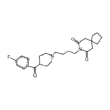 O=C(c1ccc(F)cc1)C1CCN(CCCCN2C(=O)CC3(CCCC3)CC2=O)CC1